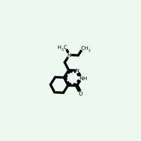 CCN(C)Cc1n[nH]c(=O)c2c1CCCC2